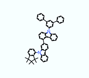 CC1(C)c2cccc(-n3c4ccccc4c4ccc(-c5cccc6c5c5ccccc5n6-c5cc(-c6ccccc6)cc(-c6ccccc6)c5)cc43)c2C(C)(C)C1(C)C